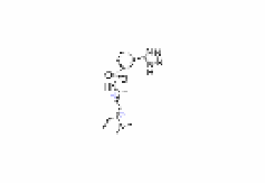 C=C/C(=C\C=C(/C)NS(=O)(=O)c1cccc(-c2nnn[nH]2)c1)N(C)C